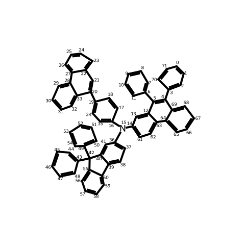 c1ccc(-c2c(-c3ccccc3)c3cc(N(c4ccc(-c5cc6ccccc6c6ccccc56)cc4)c4ccc5c(c4)C(c4ccccc4)(c4ccccc4)c4ccccc4-5)ccc3c3ccccc23)cc1